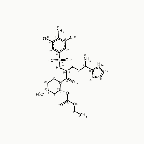 CCOC(=O)O[C@@H]1C[C@H](C)CCN1C(=O)[C@H](CCC(N)c1ncc[nH]1)NS(=O)(=O)c1cc(Cl)c(N)c(Cl)c1